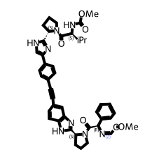 COO/C=N\[C@@H](C(=O)N1CCC[C@H]1c1nc2cc(C#Cc3ccc(-c4c[nH]c([C@@H]5CCCN5C(=O)[C@@H](NC(=O)OC)C(C)C)n4)cc3)ccc2[nH]1)c1ccccc1